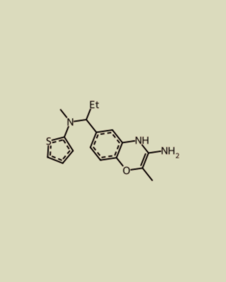 CCC(c1ccc2c(c1)NC(N)=C(C)O2)N(C)c1cccs1